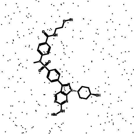 CCCCNc1ncc2c(-c3ccc(S(=O)(=O)N(C)c4ccc(C(=O)NCCOCC)cc4)cc3)nn([C@H]3CC[C@H](O)CC3)c2n1